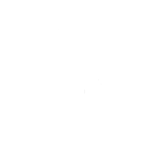 O=C(O)c1sc2cc(Cl)ccc2c1-c1cc(Cl)c(F)cc1F